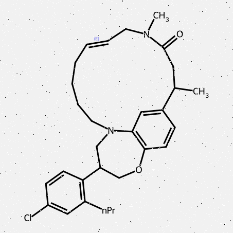 CCCc1cc(Cl)ccc1C1COc2ccc3cc2N(CCCC/C=C/CN(C)C(=O)CC3C)C1